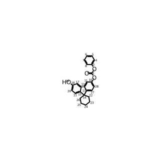 O=C(Oc1ccccc1)Oc1ccc(C2(c3ccc(O)cc3)CCCCC2)cc1